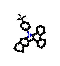 C[Si](C)(C)c1ccc(-n2c3cc4ccccc4cc3c3c4ccccc4c4ccccc4c32)cc1